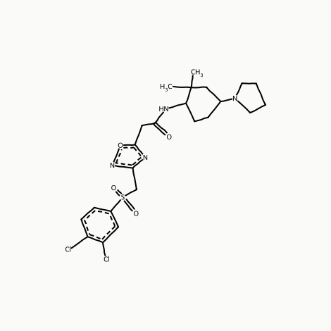 CC1(C)CC(N2CCCC2)CCC1NC(=O)Cc1nc(CS(=O)(=O)c2ccc(Cl)c(Cl)c2)no1